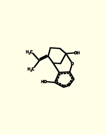 CC(C)=C1CCC2(O)CC1c1c(O)cccc1O2